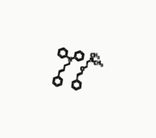 C(=Cc1ccccc1)CCN(c1ccccc1)c1ccccc1.CN(C)CCOC=Cc1ccccc1